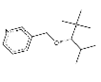 CC(C)[C@H](OCc1cccnc1)C(C)(C)C